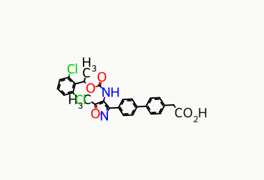 Cc1onc(-c2ccc(-c3ccc(CC(=O)O)cc3)cc2)c1NC(=O)OC(C)c1c(Cl)cccc1Cl